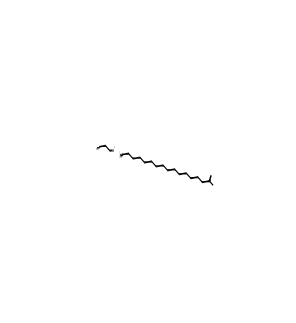 CC(C)CCCCCCCCCCCCCCC(=O)NCCC(=O)O